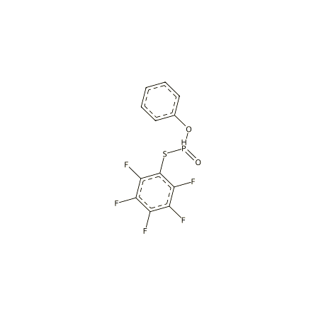 O=[PH](Oc1ccccc1)Sc1c(F)c(F)c(F)c(F)c1F